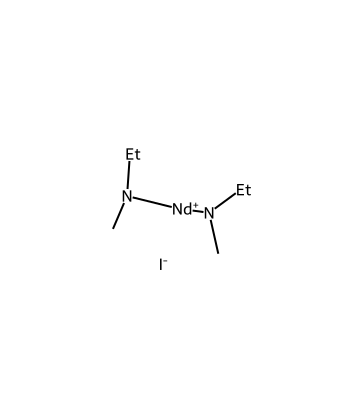 CC[N](C)[Nd+][N](C)CC.[I-]